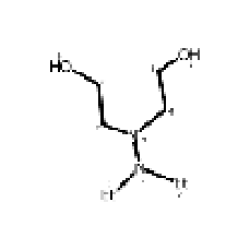 CCN(CC)N(CCO)CCO